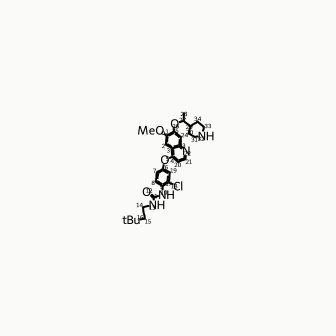 COc1cc2c(Oc3ccc(NC(=O)NCCC(C)(C)C)c(Cl)c3)ccnc2cc1OC(C)C1CCNCC1